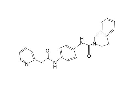 O=C(Cc1ccccn1)Nc1ccc(NC(=O)N2CCc3ccccc3C2)cc1